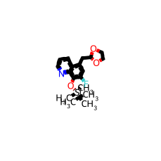 CC(C)(C)[Si](C)(C)Oc1c(F)cc(CC2OCCO2)c2cccnc12